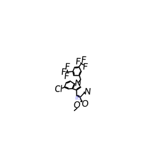 CCOC(=O)/C(C#N)=C/c1cn(Cc2cc(C(F)(F)F)cc(C(F)(F)F)c2)c2ccc(Cl)cc12